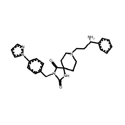 N[C@@H](CCN1CCC2(CC1)NC(=O)N(Cc1ccc(-n3cccn3)cc1)C2=O)c1ccccc1